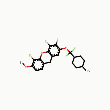 CCCC1CCC(C(F)(F)Oc2cc3c(c(F)c2F)Oc2c(ccc(OCC)c2F)C3)CC1